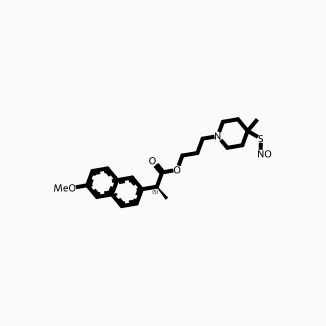 COc1ccc2cc([C@H](C)C(=O)OCCCN3CCC(C)(SN=O)CC3)ccc2c1